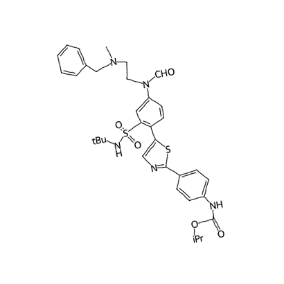 CC(C)OC(=O)Nc1ccc(-c2ncc(-c3ccc(N(C=O)CCN(C)Cc4ccccc4)cc3S(=O)(=O)NC(C)(C)C)s2)cc1